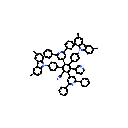 Cc1ccc2c(c1)c1cc(C)ccc1n2-c1ccc(-c2c(C#N)c(-c3cc(-c4ccccc4)nc(-c4ccccc4)c3)c(-c3cccnc3)c(-c3ccc(-n4c5ccc(C)cc5c5cc(C)ccc54)cc3)c2-c2cc(-c3ccccc3)nc(-c3ccccc3)c2)cc1